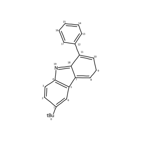 CC(C)(C)c1ccc2c(c1)C1=CCC=C(c3ccccc3)C1=N2